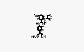 CN/C=C(\C=N)c1ccc(NC(=N)C2=C(NC3CCOC3)CCN(C(C)=O)C2)c(Cl)c1